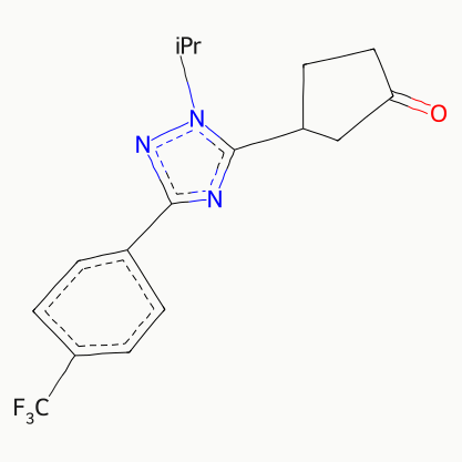 CC(C)n1nc(-c2ccc(C(F)(F)F)cc2)nc1C1CCC(=O)C1